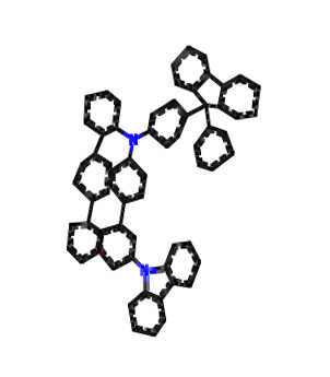 c1ccc(-c2ccc(-c3ccccc3N(c3ccc(-c4cccc(-n5c6ccccc6c6ccccc65)c4)cc3)c3ccc(C4(c5ccccc5)c5ccccc5-c5ccccc54)cc3)cc2)cc1